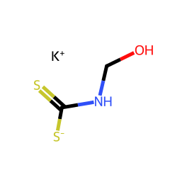 OCNC(=S)[S-].[K+]